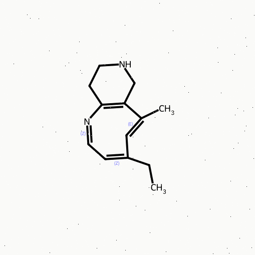 CCC1=C/C=N\C2=C(CNCC2)C(\C)=C\1